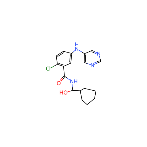 O=C(NC(O)C1CCCCC1)c1cc(Nc2cncnc2)ccc1Cl